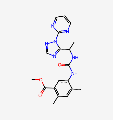 COC(=O)c1cc(NC(=O)NC(C)c2ncnn2-c2ncccn2)c(C)cc1C